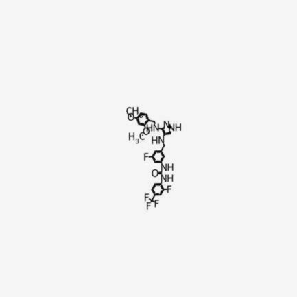 COc1ccc(CNc2n[nH]cc2NCc2cc(F)cc(NC(=O)Nc3ccc(C(F)(F)F)cc3F)c2)c(OC)c1